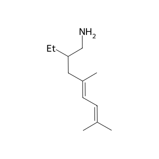 CCC(CN)C/C(C)=C/C=C(C)C